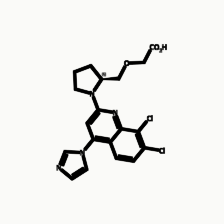 O=C(O)COC[C@@H]1CCCN1c1cc(-n2ccnc2)c2ccc(Cl)c(Cl)c2n1